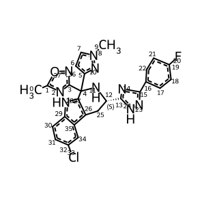 Cc1nc(C2(c3ccn(C)n3)N[C@H](c3nc(-c4ccc(F)cc4)n[nH]3)Cc3c2[nH]c2ccc(Cl)cc32)no1